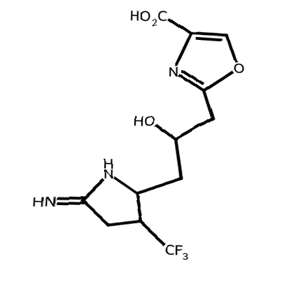 N=C1CC(C(F)(F)F)C(CC(O)Cc2nc(C(=O)O)co2)N1